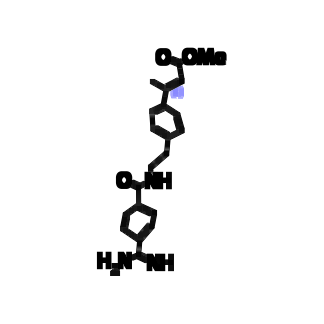 COC(=O)/C=C(\C)c1ccc(CCNC(=O)c2ccc(C(=N)N)cc2)cc1